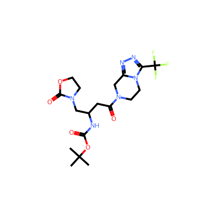 CC(C)(C)OC(=O)NC(CC(=O)N1CCn2c(nnc2C(F)(F)F)C1)CN1CCOC1=O